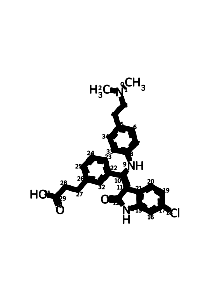 CN(C)CCc1ccc(NC(=C2C(=O)Nc3cc(Cl)ccc32)c2cccc(CCC(=O)O)c2)cc1